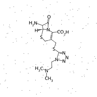 CN(C)CCn1nnnc1SCC1=C(C(=O)O)N2C(=O)C(N)[C@H]2SC1